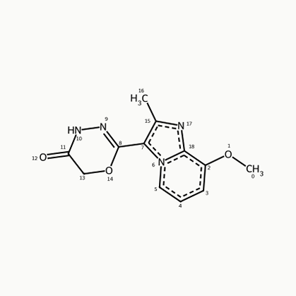 COc1cccn2c(C3=NNC(=O)CO3)c(C)nc12